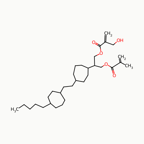 C=C(C)C(=O)OCC(COC(=O)C(=C)CO)C1CCCC(CCC2CCCC(CCCCC)CC2)CC1